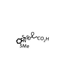 CSc1cccc2sc(SOC(=O)CCC(=O)O)nc12